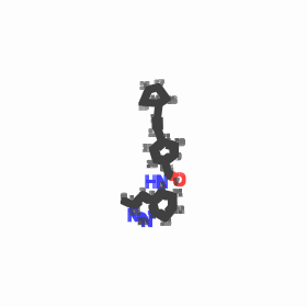 Cc1cc2c(NC(=O)c3ccc(C#CC4CCCC4)cc3)cccc2nn1